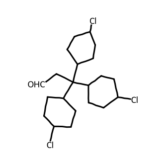 O=CCC(C1CCC(Cl)CC1)(C1CCC(Cl)CC1)C1CCC(Cl)CC1